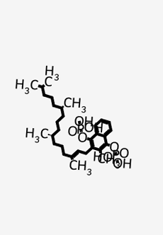 C/C(=C\Cc1c(C)c(OP(=O)(O)O)c2ccccc2c1OP(=O)(O)O)CCC[C@H](C)CCC[C@H](C)CCCC(C)C